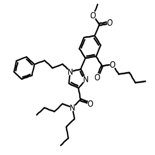 CCCCOC(=O)c1cc(C(=O)OC)ccc1-c1nc(C(=O)N(CCCC)CCCC)cn1CCCc1ccccc1